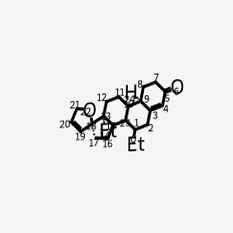 CCC1CC2=CC(=O)CC[C@@H]2C2CC[C@@]3(CC)C(CC[C@@]34C=CCO4)C12